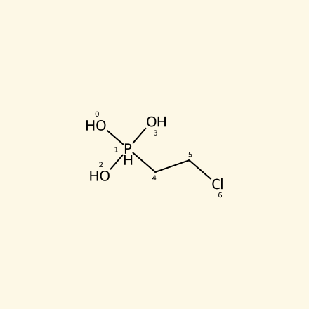 O[PH](O)(O)CCCl